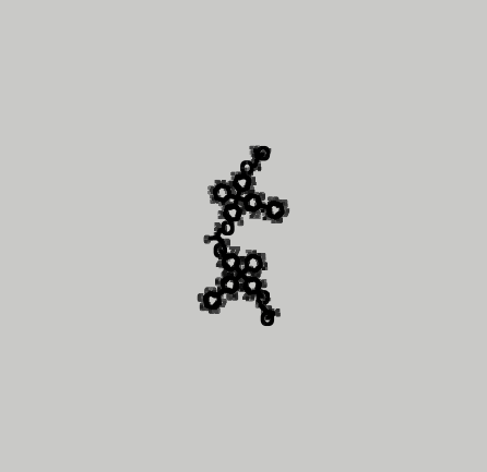 CC(COc1ccc(C(c2ccc(OCC3CO3)cc2)(c2ccc(-c3ccccc3)cc2)C2CCCCC2)cc1)COc1ccc(C(c2ccc(OCC3CO3)cc2)(c2ccc(-c3ccccc3)cc2)C2CCCCC2)cc1